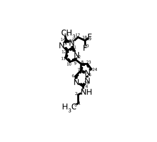 CCCNc1ncc2c(-c3ccc4nc(C)n(CC(F)F)c4n3)ccn2n1